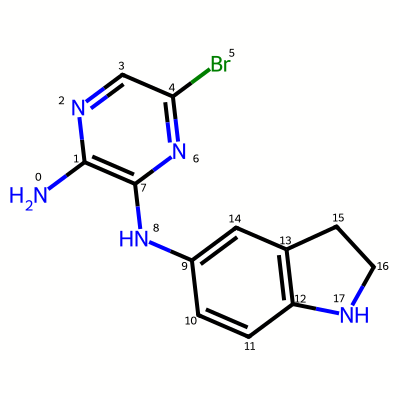 Nc1ncc(Br)nc1Nc1ccc2c(c1)CCN2